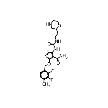 Cc1ccc(COc2nsc(NC(=O)NCCC3CNCCO3)c2C(N)=O)c(F)c1F